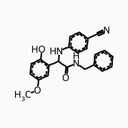 COc1ccc(O)c(C(Nc2ccc(C#N)cc2)C(=O)NCc2ccccc2)c1